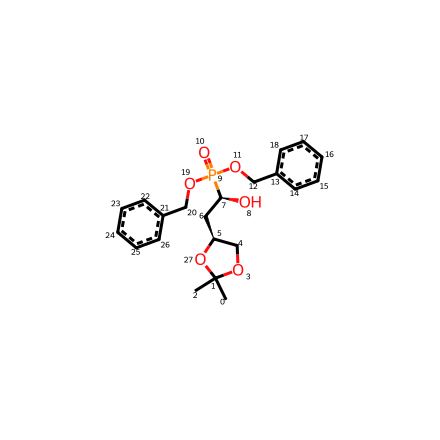 CC1(C)OC[C@H](C[C@H](O)P(=O)(OCc2ccccc2)OCc2ccccc2)O1